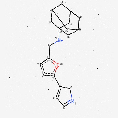 C1=NCC(c2ccc(CNC34CC5CC(CC(C5)C3)C4)o2)=C1